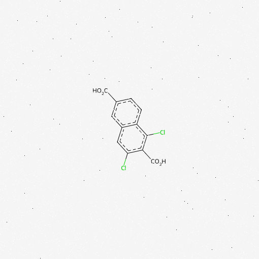 O=C(O)c1ccc2c(Cl)c(C(=O)O)c(Cl)cc2c1